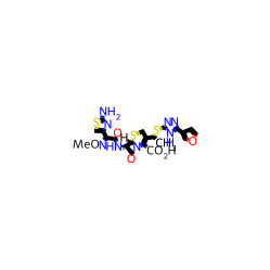 CON=C(C(=O)N[C@@H]1C(=O)N2C(C(=O)O)=C(C(C)Sc3nnc(-c4ccoc4)[nH]3)CS[C@@H]12)c1csc(N)n1